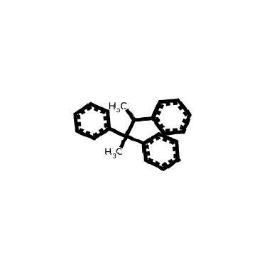 CC(c1ccccc1)C(C)(c1ccccc1)c1ccccc1